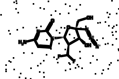 [N-]=[N+]=N[C@]1(CO)O[C@@H](n2ccc(N)nc2=O)[C@H](C(F)F)[C@@H]1O